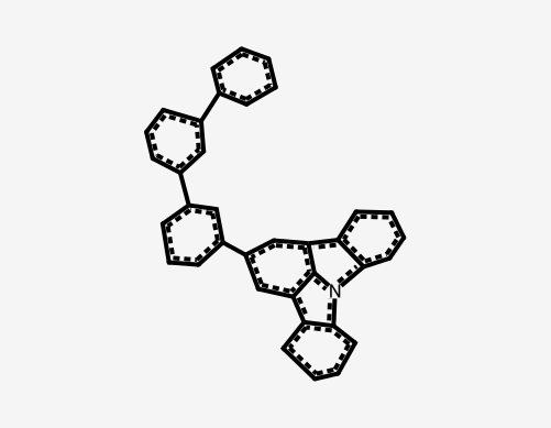 c1ccc(-c2cccc(-c3cccc(-c4cc5c6ccccc6n6c7ccccc7c(c4)c56)c3)c2)cc1